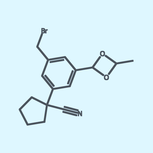 CC1OC(c2cc(CBr)cc(C3(C#N)CCCC3)c2)O1